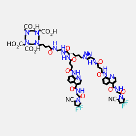 N#C[C@@H]1CC(F)(F)CN1C(=O)CNC(=O)c1ccnc2c(NC(=O)CCC(=O)NCc3cn(CCCC[C@H](NC(=O)CCC(=O)Nc4cccc5c(C(=O)NCC(=O)N6CC(F)(F)C[C@H]6C#N)ccnc45)C(=O)NCCNC(=O)CCCC(C(=O)O)N4CCN(CC(=O)O)CCN(CC(=O)O)CCN(CC(=O)O)CC4)nn3)cccc12